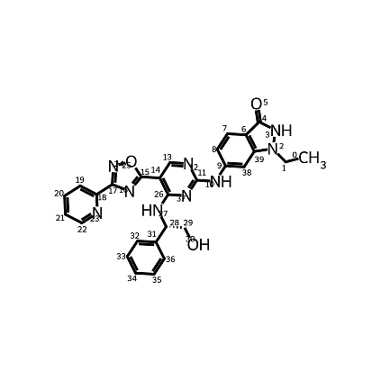 CCn1[nH]c(=O)c2ccc(Nc3ncc(-c4nc(-c5ccccn5)no4)c(N[C@H](CO)c4ccccc4)n3)cc21